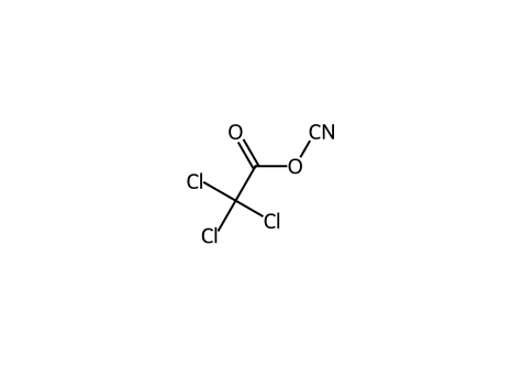 N#COC(=O)C(Cl)(Cl)Cl